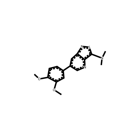 COc1ccc(-c2cnc3c(N(C)C)snc3c2)cc1OC